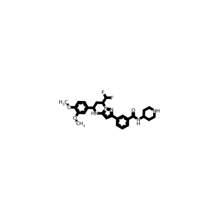 COc1ccc(C2CC(C(F)F)n3nc(-c4cccc(C(=O)NC5CCNCC5)c4)cc3N2)cc1OC